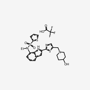 CCN(c1cccc2cc(-c3ncc(CN4CCC(O)CC4)s3)[nH]c12)S(=O)(=O)c1cccs1.O=C(O)C(F)(F)F